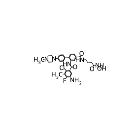 Cc1c(F)c(N)cc(C(=O)Nc2cc(C(=O)NCCCC(=O)NO)ccc2-c2ccc(N3CCN(C)CC3)cc2)c1Cl